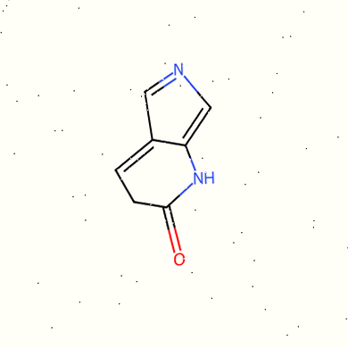 O=C1CC=C2C=NC=C2N1